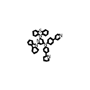 c1ccc(-c2ccc(N(c3ccc(-c4ccncc4)cc3)c3cc(N4c5ccccc5Sc5ccccc54)nc(-n4c5ccccc5c5ccccc54)c3)cc2)nc1